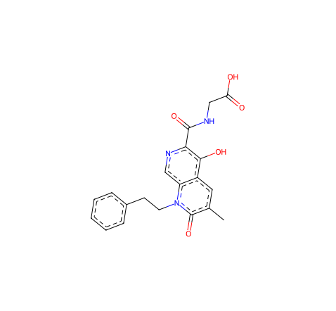 Cc1cc2c(O)c(C(=O)NCC(=O)O)ncc2n(CCc2ccccc2)c1=O